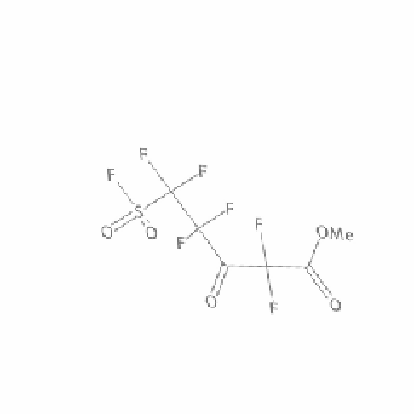 COC(=O)C(F)(F)C(=O)C(F)(F)C(F)(F)S(=O)(=O)F